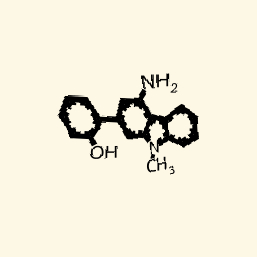 Cn1c2ccccc2c2c(N)cc(-c3ccccc3O)cc21